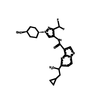 CN(CC1CC1)c1ccn2ncc(C(=O)Nc3cn([C@H]4CC[C@H](C=O)CC4)nc3C(F)F)c2n1